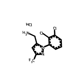 Cl.NCc1cc(C(F)(F)F)nn1-c1cccc(Cl)c1Cl